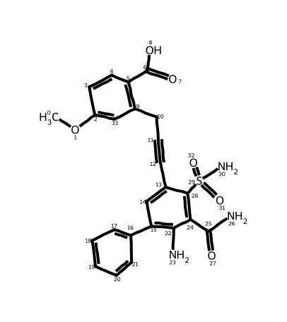 COc1ccc(C(=O)O)c(CC#Cc2cc(-c3ccccc3)c(N)c(C(N)=O)c2S(N)(=O)=O)c1